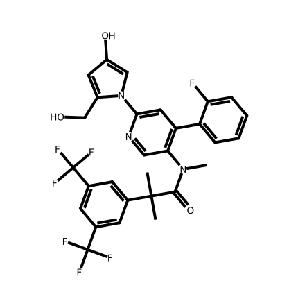 CN(C(=O)C(C)(C)c1cc(C(F)(F)F)cc(C(F)(F)F)c1)c1cnc(-n2cc(O)cc2CO)cc1-c1ccccc1F